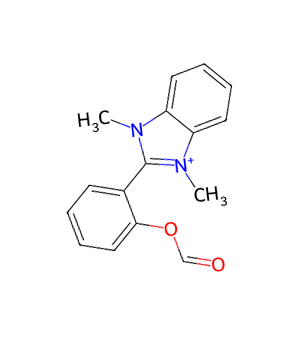 Cn1c(-c2ccccc2OC=O)[n+](C)c2ccccc21